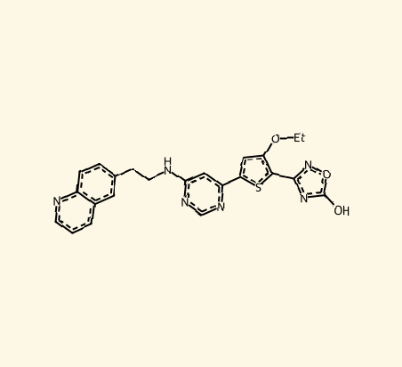 CCOc1cc(-c2cc(NCCc3ccc4ncccc4c3)ncn2)sc1-c1noc(O)n1